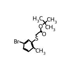 Cc1ccc(Br)cc1SCC(=O)OC(C)(C)C